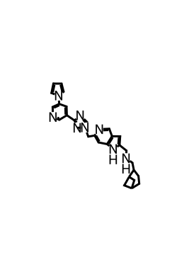 c1ccn(-c2cncc(-c3ncn(Cc4cc5[nH]c(CNCC6CCC7CC6C7)cc5cn4)n3)c2)c1